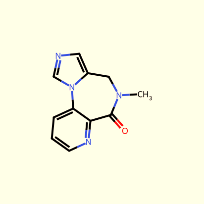 CN1Cc2cncn2-c2cccnc2C1=O